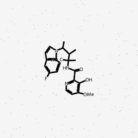 COc1ccnc(C(=O)NC(C)(C(=O)O)C(C)C(C)n2ccc3cc(F)ccc32)c1O